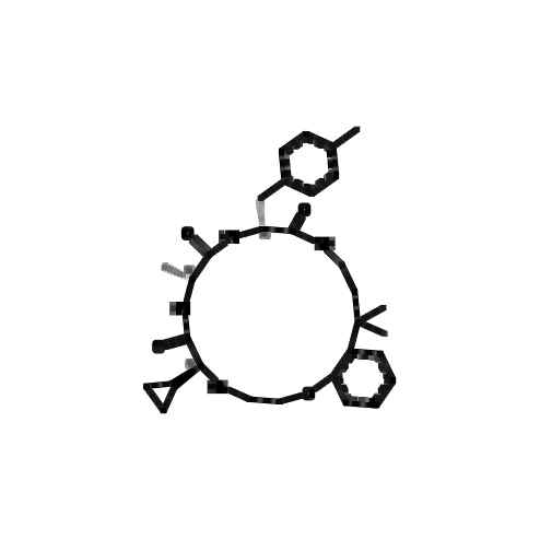 Cc1ccc(C[C@H]2NC(=O)[C@@H](C)NC(=O)[C@H](C3CC3)NCCOc3ccccc3C(C)(C)CCNC2=O)cc1